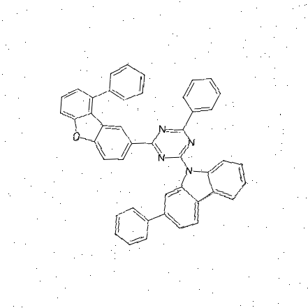 c1ccc(-c2ccc3c4ccccc4n(-c4nc(-c5ccccc5)nc(-c5ccc6oc7cccc(-c8ccccc8)c7c6c5)n4)c3c2)cc1